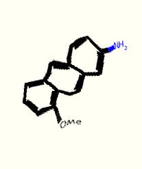 COc1cccc2cc3ccc(N)cc3cc12